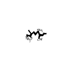 C=C/C=C(/C#N)C(N)CCC(C)C(F)CN